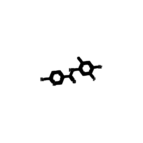 Cc1cc(Br)c(F)cc1NC(=O)c1ccc(Br)nc1